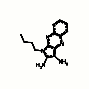 CCCCn1c(N)c(N)c2nc3ccccc3nc21